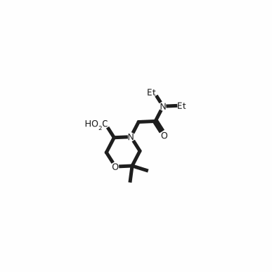 CCN(CC)C(=O)CN1CC(C)(C)OCC1C(=O)O